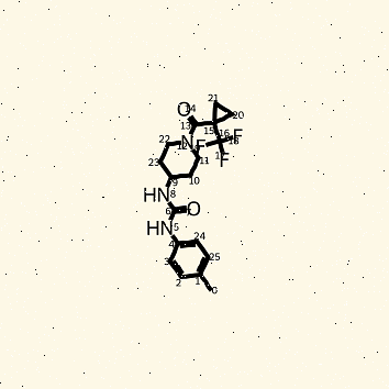 Cc1ccc(NC(=O)NC2CCN(C(=O)C3(C(F)(F)F)CC3)CC2)cc1